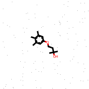 Cc1cc(OCCC(C)(C)O)cc(C)c1C